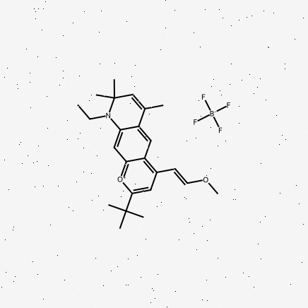 CCN1c2cc3[o+]c(C(C)(C)C)cc(/C=C/OC)c3cc2C(C)=CC1(C)C.F[B-](F)(F)F